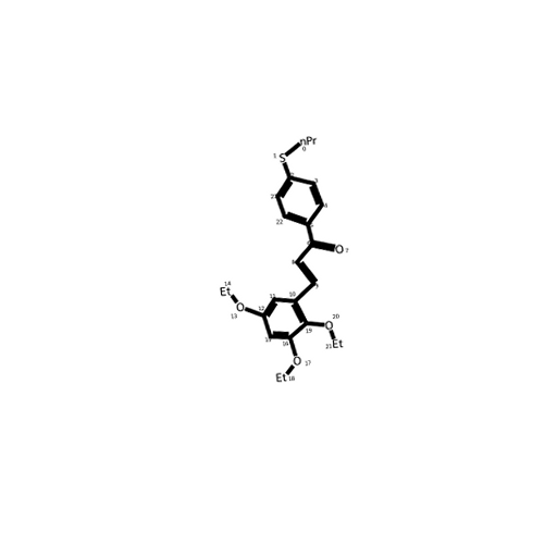 CCCSc1ccc(C(=O)C=Cc2cc(OCC)cc(OCC)c2OCC)cc1